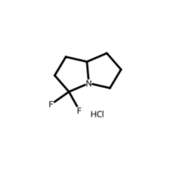 Cl.FC1(F)CCC2CCCN21